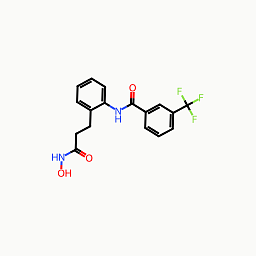 O=C(CCc1ccccc1NC(=O)c1cccc(C(F)(F)F)c1)NO